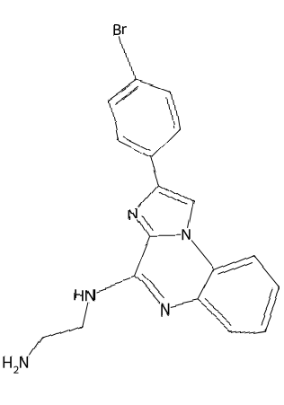 NCCNc1nc2ccccc2n2cc(-c3ccc(Br)cc3)nc12